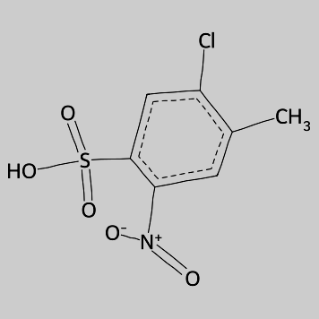 Cc1cc([N+](=O)[O-])c(S(=O)(=O)O)cc1Cl